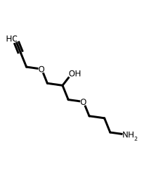 C#CCOCC(O)COCCCN